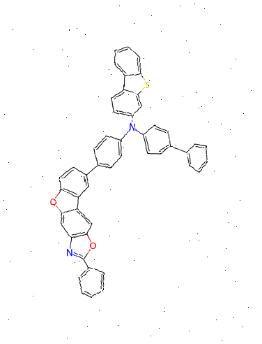 c1ccc(-c2ccc(N(c3ccc(-c4ccc5oc6cc7nc(-c8ccccc8)oc7cc6c5c4)cc3)c3ccc4c(c3)sc3ccccc34)cc2)cc1